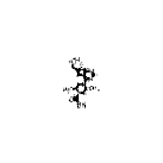 CCc1cc2c(N3C[C@H](C)N(C(=O)O)C[C@H]3C)ncnc2s1